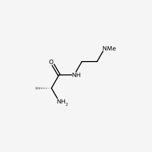 CNCCNC(=O)[C@@H](C)N